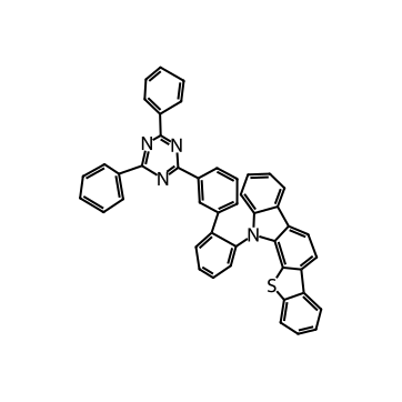 c1ccc(-c2nc(-c3ccccc3)nc(-c3cccc(-c4ccccc4-n4c5ccccc5c5ccc6c7ccccc7sc6c54)c3)n2)cc1